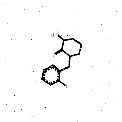 CC1CCCC(Cc2ccccc2Br)C1=O